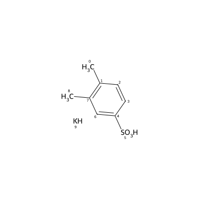 Cc1ccc(S(=O)(=O)O)cc1C.[KH]